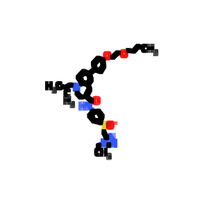 CCCCOCCOc1ccc(-c2ccc3c(c2)C=C(C(=O)Nc2ccc([S+]([O-])Cc4nncn4CC)cc2)CCN3CC(C)C)cc1